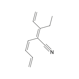 C=C/C=C\C(C#N)=C(/C=C)CC